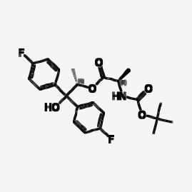 C[C@H](OC(=O)[C@@H](C)NC(=O)OC(C)(C)C)C(O)(c1ccc(F)cc1)c1ccc(F)cc1